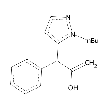 C=C(O)C(c1ccccc1)c1ccnn1CCCC